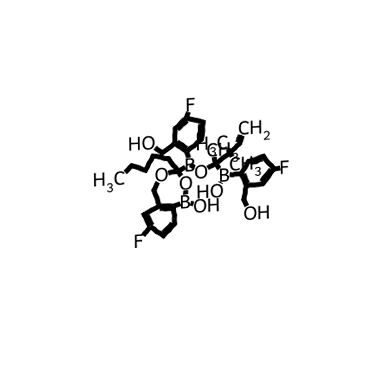 C=CC(C)(C)C(C)(OB(c1ccc(F)cc1CO)C1(CCCCC)OCc2cc(F)ccc2B(O)O1)B(O)c1ccc(F)cc1CO